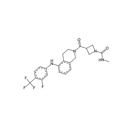 CNC(=O)N1CC(C(=O)N2CCc3c(cccc3Nc3ccc(C(F)(F)F)c(F)c3)C2)C1